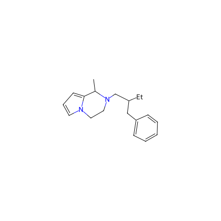 CCC(Cc1ccccc1)CN1CCn2cccc2C1C